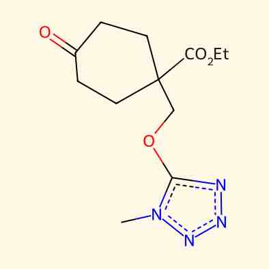 CCOC(=O)C1(COc2nnnn2C)CCC(=O)CC1